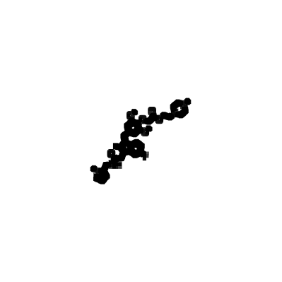 COc1cc(/C=C2/C(C)=C(CC(=O)NCc3cccn3C)c3cc(F)ccc32)cc(OC)c1OCC(=O)OCCN1CCN(C)CC1